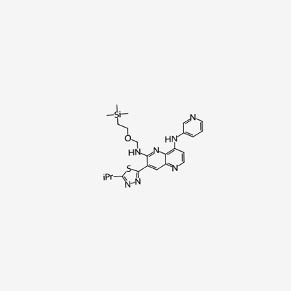 CC(C)c1nnc(-c2cc3nccc(Nc4cccnc4)c3nc2NCOCC[Si](C)(C)C)s1